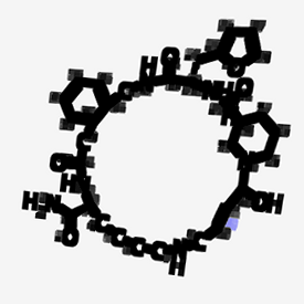 NC(=O)[C@@H]1CCCCNC/C=C/C(O)N2CCC[C@H](C2)C(=O)N[C@@H](Cc2ccco2)C(=O)NCc2ccccc2CC(=O)N1